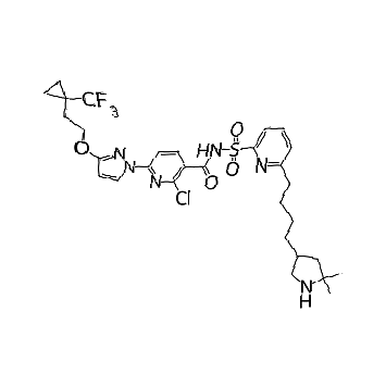 CC1(C)CC(CCCCc2cccc(S(=O)(=O)NC(=O)c3ccc(-n4ccc(OCCC5(C(F)(F)F)CC5)n4)nc3Cl)n2)CN1